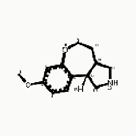 COc1ccc2c(c1)OCCC1CNC[C@H]21